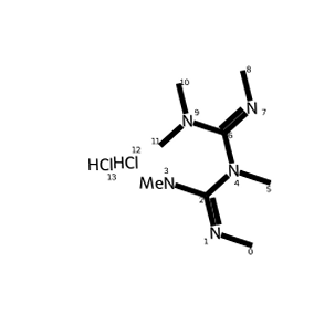 CN=C(NC)N(C)C(=NC)N(C)C.Cl.Cl